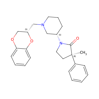 C[C@]1(c2ccccc2)CCN([C@H]2CCCN(C[C@H]3COc4ccccc4O3)C2)C1=O